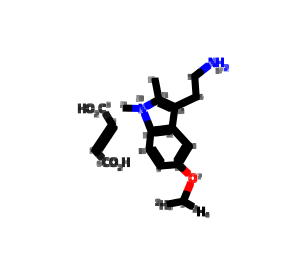 O=C(O)/C=C/C(=O)O.[2H]C([2H])Oc1ccc2c(c1)c(CCN)c(C)n2C